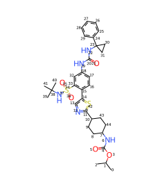 CC(C)OC(=O)NC1CCC(c2ncc(-c3ccc(NC(=O)NC4(c5ccccc5)CC4)cc3S(=O)(=O)NC(C)(C)C)s2)CC1